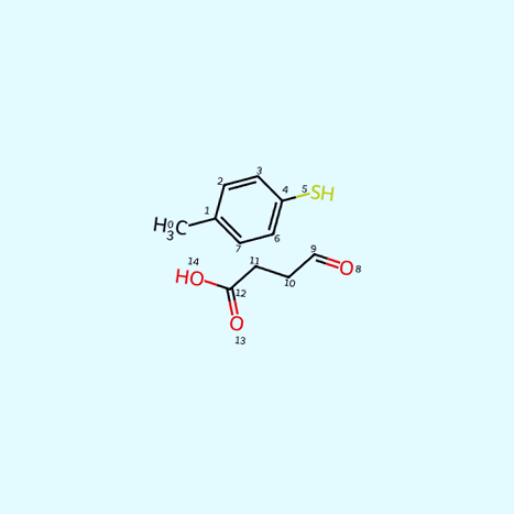 Cc1ccc(S)cc1.O=CCCC(=O)O